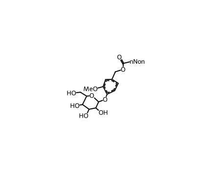 CCCCCCCCCC(=O)OCc1ccc(OC2OC(CO)C(O)C(O)C2O)c(OC)c1